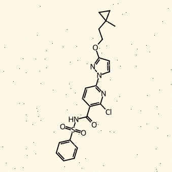 CC1(CCOc2ccn(-c3ccc(C(=O)NS(=O)(=O)c4ccccc4)c(Cl)n3)n2)CC1